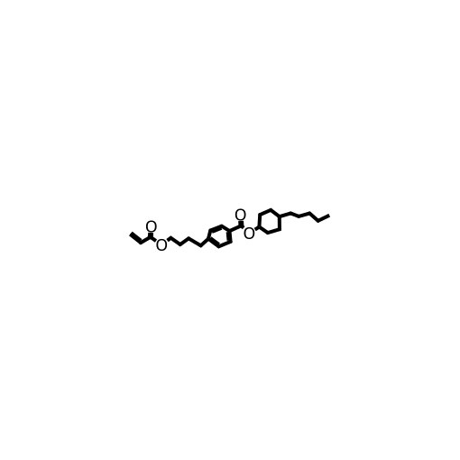 C=CC(=O)OCCCCc1ccc(C(=O)OC2CCC(CCCCC)CC2)cc1